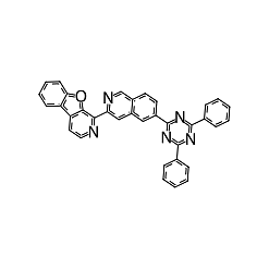 c1ccc(-c2nc(-c3ccccc3)nc(-c3ccc4cnc(-c5nccc6c5oc5ccccc56)cc4c3)n2)cc1